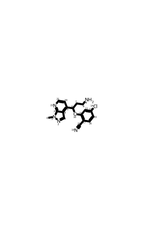 Cn1ncc2c(C(CCN)Oc3cc(Cl)ccc3C#N)ccnc21